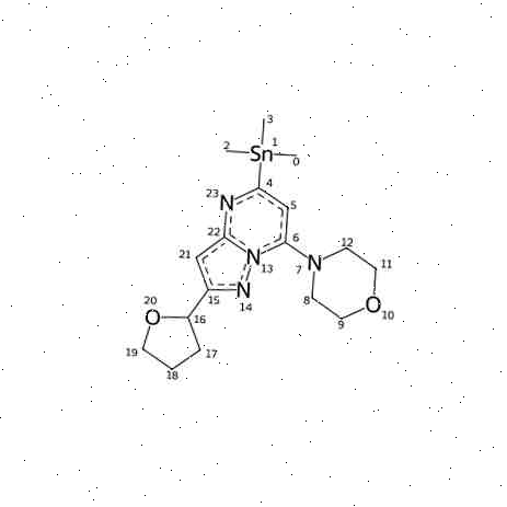 [CH3][Sn]([CH3])([CH3])[c]1cc(N2CCOCC2)n2nc(C3CCCO3)cc2n1